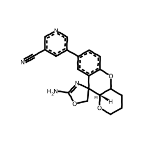 N#Cc1cncc(-c2ccc3c(c2)C2(COC(N)=N2)[C@H]2OCCCC2O3)c1